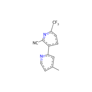 Cc1ccnc(-c2ccc(C(F)(F)F)nc2C#N)c1